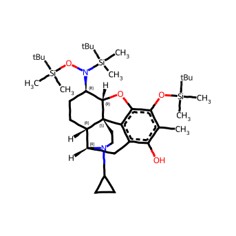 Cc1c(O)c2c3c(c1O[Si](C)(C)C(C)(C)C)O[C@H]1[C@H](N(O[Si](C)(C)C(C)(C)C)[Si](C)(C)C(C)(C)C)CC[C@H]4[C@@H](C2)N(C2CC2)CC[C@@]341